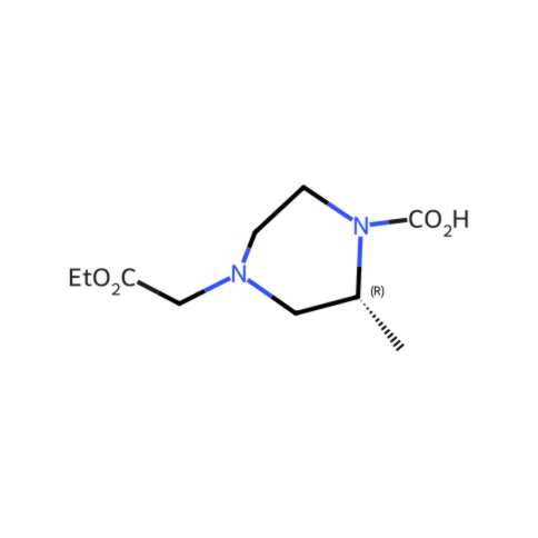 CCOC(=O)CN1CCN(C(=O)O)[C@H](C)C1